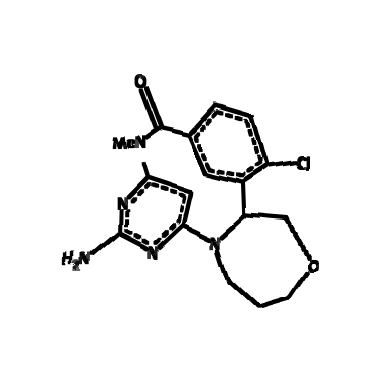 CNC(=O)c1ccc(Cl)c(C2COCCCN2c2cc(C)nc(N)n2)c1